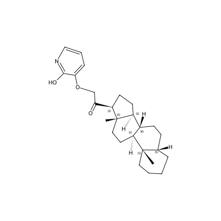 C[C@]12CCCC[C@H]1CC[C@@H]1[C@@H]2CC[C@]2(C)[C@@H](C(=O)COc3cccnc3O)CC[C@@H]12